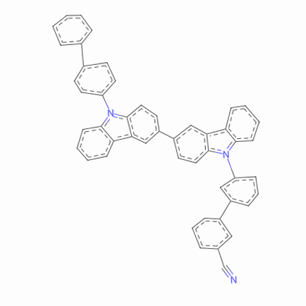 N#Cc1cccc(-c2cccc(-n3c4ccccc4c4cc(-c5ccc6c(c5)c5ccccc5n6-c5ccc(-c6ccccc6)cc5)ccc43)c2)c1